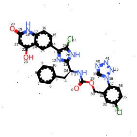 O=C(N[C@@H](Cc1ccccc1)c1nc(-c2ccc3[nH]c(=O)cc(O)c3c2)c(Cl)[nH]1)OCc1cc(Cl)ccc1-n1cnnn1